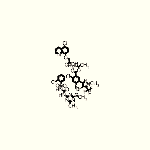 CC(C)OC(=O)c1cc(-c2nn(C)c(C(F)(F)F)c2Br)c(F)cc1Cl.COc1nc(C)nc(NC(=O)NS(=O)(=O)c2ccccc2Cl)n1.O=C(O)COc1ccc(Cl)c2cccnc12